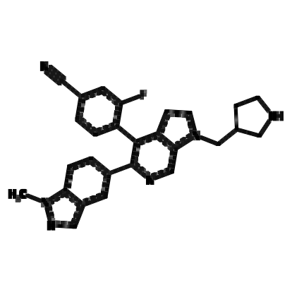 Cn1ncc2cc(-c3ncc4c(ccn4CC4CCNC4)c3-c3ccc(C#N)cc3F)ccc21